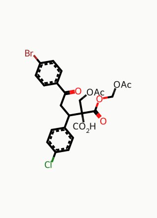 CC(=O)OCOC(=O)C(COC(C)=O)(C(=O)O)C(CC(=O)c1ccc(Br)cc1)c1ccc(Cl)cc1